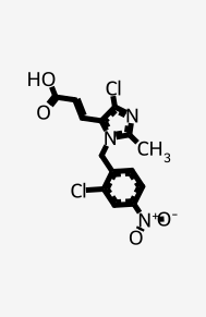 Cc1nc(Cl)c(/C=C/C(=O)O)n1Cc1ccc([N+](=O)[O-])cc1Cl